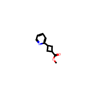 COC(=O)C1CC(c2ccccn2)C1